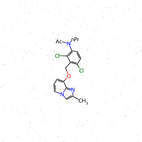 CCCN(C(C)=O)c1ccc(Cl)c(COc2cccn3cc(C)nc23)c1Cl